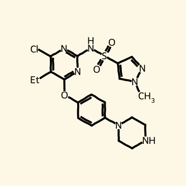 CCc1c(Cl)nc(NS(=O)(=O)c2cnn(C)c2)nc1Oc1ccc(N2CCNCC2)cc1